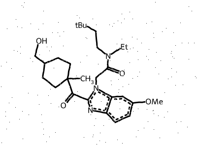 CCN(CCC(C)(C)C)C(=O)Cn1c(C(=O)C2(C)CCC(CO)CC2)nc2ccc(OC)cc21